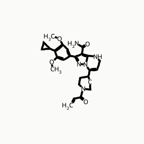 C=CC(=O)N1CCC(C2=CCNc3c(C(N)=O)c(-c4cc(OC)c(C5CC5)c(OC)c4)nn32)CC1